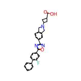 O=C(O)C1CC(N2Cc3ccc(-c4noc(-c5ccc(-c6ccccc6)c(F)c5)n4)cc3C2)C1